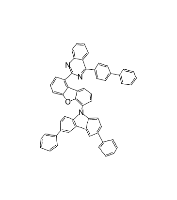 c1ccc(-c2ccc(-c3nc(-c4cccc5oc6c(-n7c8ccc(-c9ccccc9)cc8c8cc(-c9ccccc9)ccc87)cccc6c45)nc4ccccc34)cc2)cc1